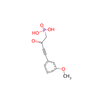 COc1cccc(C#CC(=O)CP(=O)(O)O)c1